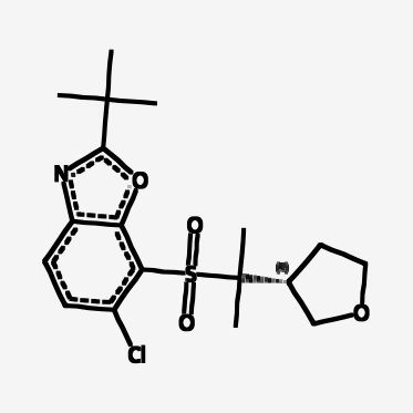 CC(C)(C)c1nc2ccc(Cl)c(S(=O)(=O)C(C)(C)[C@@H]3CCOC3)c2o1